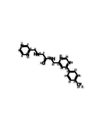 O=C(CNCc1cnccn1)NCc1cc(-c2ccc(C(F)(F)F)cc2)ncn1